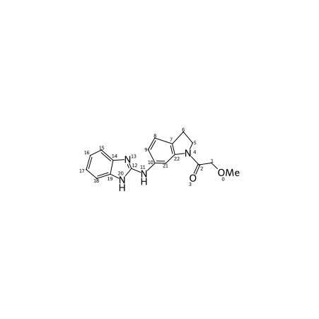 COCC(=O)N1CCc2ccc(Nc3nc4ccccc4[nH]3)cc21